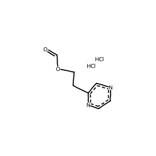 Cl.Cl.O=COCCc1cnccn1